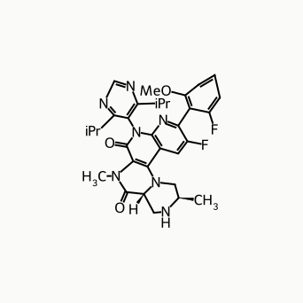 COc1cccc(F)c1-c1nc2c(cc1F)c1c(c(=O)n2-c2c(C(C)C)ncnc2C(C)C)N(C)C(=O)[C@H]2CN[C@H](C)CN12